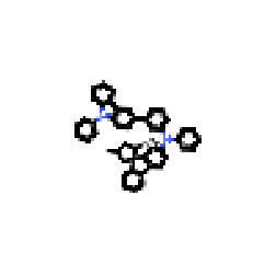 CCCC1CC(C)CC12c1ccccc1-c1ccc(N(c3ccccc3)c3cccc(-c4ccc5c(c4)c4ccccc4n5-c4ccccc4)c3)cc12